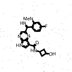 CNc1cc(F)ccc1C(=N)c1cnc2[nH]cc(C(=O)NC3CC(O)C3)c2n1